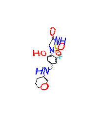 O=C1CN(c2c(O)cc(CNC3CCCOC3)cc2F)S(=O)(=O)N1